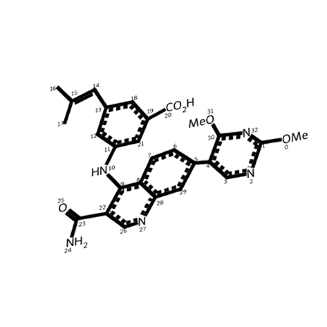 COc1ncc(-c2ccc3c(Nc4cc(C=C(C)C)cc(C(=O)O)c4)c(C(N)=O)cnc3c2)c(OC)n1